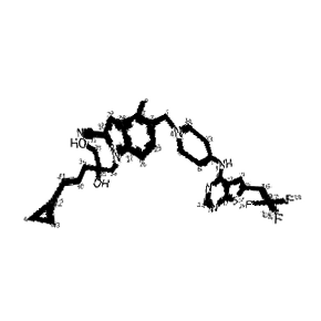 Cc1c(CN2CCC(Nc3ncnc4sc(CC(F)(F)F)cc34)CC2)ccc2c1cc(C#N)n2CC(O)(CO)CCCC1CC1